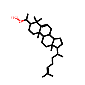 CC(C)=CCCC(C)C1CCC2C3CC=C4C(C)(C)C(C(C)OO)CCC4(C)C3CCC12C